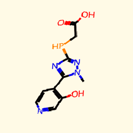 Cn1nc(PCC(=O)O)nc1-c1ccncc1O